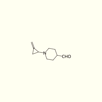 C=C1CC1N1CCC(C=O)CC1